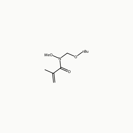 C=C(C)C(=O)N(COCCCC)OC